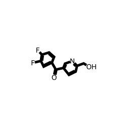 O=C(c1ccc(CO)nc1)c1ccc(F)c(F)c1